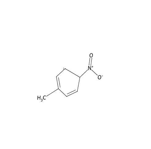 CC1=C[C]C([N+](=O)[O-])C=C1